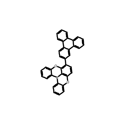 c1ccc2c(c1)Oc1ccc(-c3ccc4c5ccccc5c5ccccc5c4c3)c3c1B2c1ccccc1O3